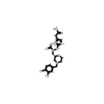 CC(=O)N(C[C@@H]1CN(Cc2ccc(Cl)c(Cl)c2)CCO1)Sc1nc(CC(=O)O)cs1